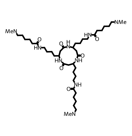 CNCCCCCC(=O)NCCCCC1CC(=O)NC(CCCCNC(=O)CCCCCNC)CC(=O)NC(CCCCNC(=O)CCCCCNC)CC(=O)N1